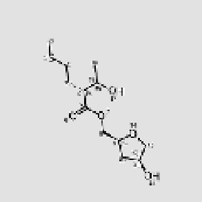 CSCC[C@@H](C(=O)OC[C@@H]1C[C@H](O)CO1)[C@@H](C)O